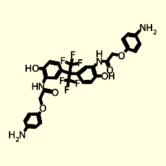 Nc1ccc(OCC(=O)Nc2cc(C(c3ccc(O)c(NC(=O)COc4ccc(N)cc4)c3)(C(F)(F)F)C(F)(F)F)ccc2O)cc1